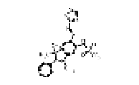 CN1c2cc(NS(=O)(=O)C(F)(F)F)c(N=Nc3nncs3)cc2C(C)(C)C1c1ccccc1